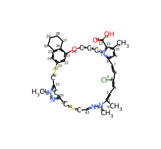 C\C1=C/C=C(Cl)/C=C\c2cc(C)c(C(=O)O)n2CCCOc2cc(cc3c2CCCC3)SCc2cc(nn2C)CSC/C=N/N1C